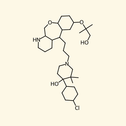 CC(C)(CO)OC1CCC2OCC3NCCCC3C(CCCN3CCC(O)(C4CCC(Cl)CC4)C(C)(C)C3)C2C1